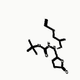 C=CCCC(C)C[C@@H](NC(=O)OC(C)(C)C)C1CCC(=O)O1